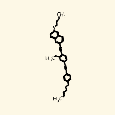 CCCCCCc1ccc(C#Cc2ccc(C#Cc3ccc4cc(SCCCC)ccc4c3)c(CC)c2)cc1